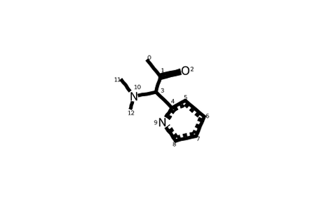 CC(=O)C(c1ccccn1)N(C)C